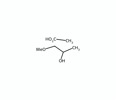 CC(=O)O.COCC(C)O